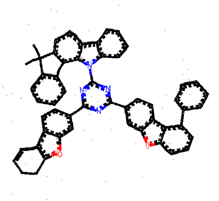 CC1(C)c2ccccc2-c2c1ccc1c3ccccc3n(-c3nc(-c4ccc5c6c(oc5c4)CCC=C6)nc(-c4ccc5c(c4)oc4cccc(-c6ccccc6)c45)n3)c21